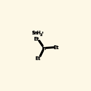 C[CH2][In]([CH2]C)[CH2]C.[SnH2]